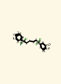 F[Si](F)(CCCC[Si](F)(F)c1ccccc1)c1ccccc1